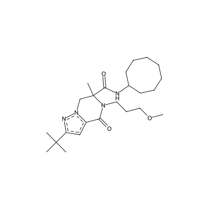 COCCCN1C(=O)c2cc(C(C)(C)C)nn2CC1(C)C(=O)NC1CCCCCCC1